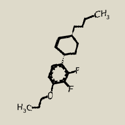 CCCC[C@H]1CC[C@H](c2ccc(OCCC)c(F)c2F)CC1